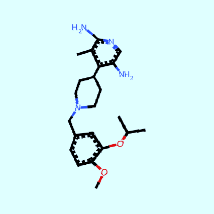 COc1ccc(CN2CCC(c3c(N)cnc(N)c3C)CC2)cc1OC(C)C